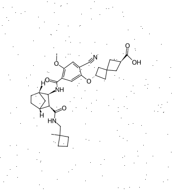 COc1cc(C#N)c(O[C@H]2CC3(C2)C[C@H](C(=O)O)C3)cc1C(=O)N[C@@H]1[C@H]2CC[C@H](C2)[C@@H]1C(=O)NCC1(C)CCC1